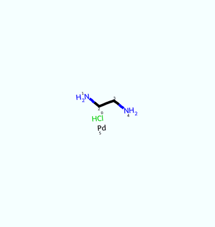 Cl.NCCN.[Pd]